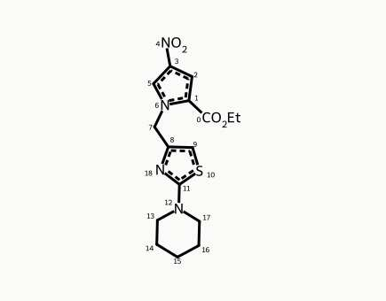 CCOC(=O)c1cc([N+](=O)[O-])cn1Cc1csc(N2CCCCC2)n1